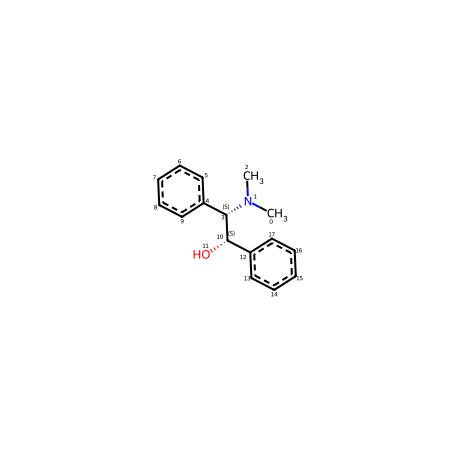 CN(C)[C@@H](c1ccccc1)[C@@H](O)c1ccccc1